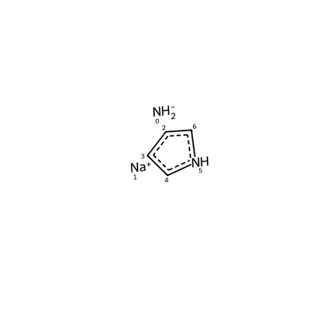 [NH2-].[Na+].c1cc[nH]c1